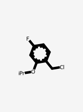 CC(C)Oc1cc(F)ccc1CCl